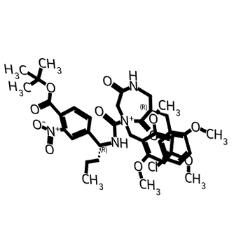 CCC[C@@H](NC(=O)[N+]1(Cc2c(OC)cc(OC)cc2OC)CC(=O)NC[C@@H](Cc2cc(Cl)ccc2OC)C1=O)c1ccc(C(=O)OC(C)(C)C)c([N+](=O)[O-])c1